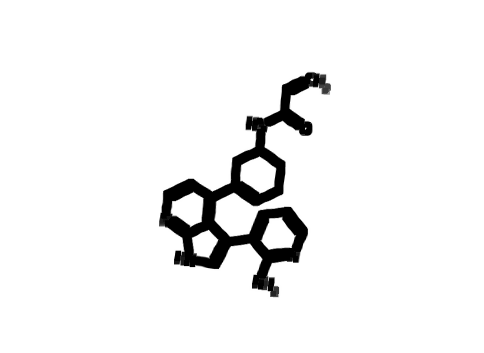 C=CC(=O)NC1CCC=C(c2ccnc3[nH]cc(-c4cccnc4N)c23)C1